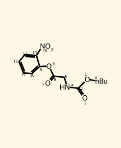 CCCCOC(=O)NCC(=O)Oc1ccccc1[N+](=O)[O-]